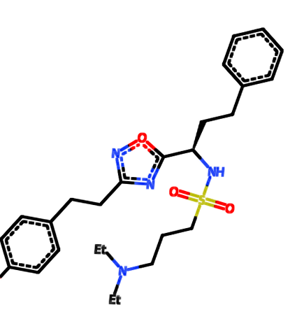 CCN(CC)CCCS(=O)(=O)N[C@H](CCc1ccccc1)c1nc(CCc2ccc(Br)cc2)no1